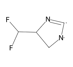 FC(F)C1C[N][C]=N1